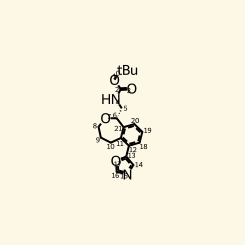 CC(C)(C)OC(=O)NC[C@H]1OCCCc2c(-c3cnco3)cccc21